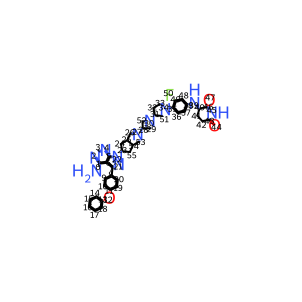 Nc1ncnc2c1c(-c1ccc(Oc3ccccc3)cc1)nn2C1CC2CN(C3CN(C4CCN(c5ccc(NC6CCC(=O)NC6=O)cc5F)C4)C3)CC2C1